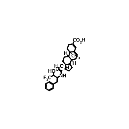 C[C@]12CC[C@H]3[C@@H](CC=C4C=C(C(=O)O)CC[C@@]43C)[C@@H]1CC[C@@H]2C(=O)NC(Cc1ccccc1)C(O)C(F)(F)F